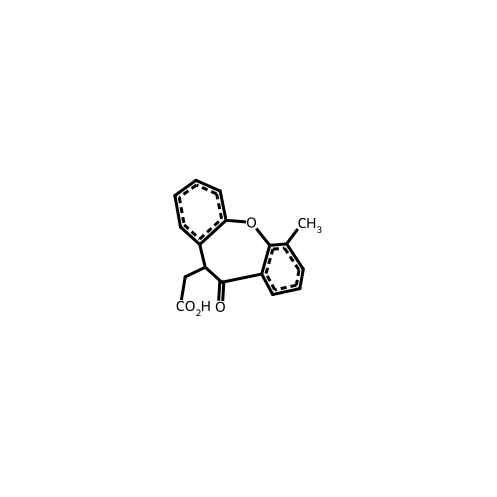 Cc1cccc2c1Oc1ccccc1C(CC(=O)O)C2=O